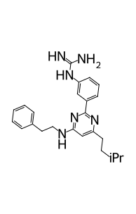 CC(C)CCc1cc(NCCc2ccccc2)nc(-c2cccc(NC(=N)N)c2)n1